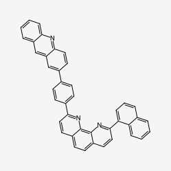 c1ccc2nc3ccc(-c4ccc(-c5ccc6ccc7ccc(-c8cccc9ccccc89)nc7c6n5)cc4)cc3cc2c1